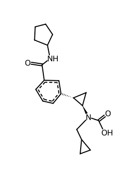 O=C(NC1CCCC1)c1cccc([C@@H]2C[C@H]2N(CC2CC2)C(=O)O)c1